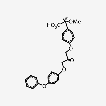 CO[C@](C)(C(=O)O)c1ccc(OCC(=O)COc2ccc(Oc3ccccc3)cc2)cc1